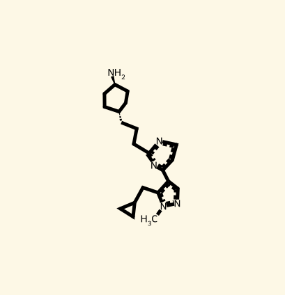 Cn1ncc(-c2ccnc(CCC[C@H]3CC[C@H](N)CC3)n2)c1CC1CC1